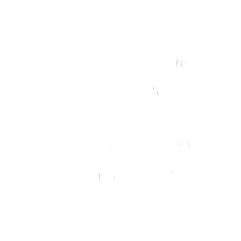 CCCCc1ccc2c(c1)CCc1cc3n(c1-2)CCN=C3C.O=C(O)C=CC(=O)O